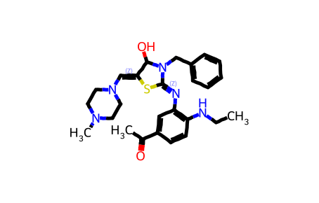 CCNc1ccc(C(C)=O)cc1/N=C1\S/C(=C\N2CCN(C)CC2)C(O)N1Cc1ccccc1